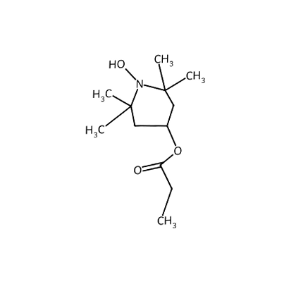 CCC(=O)OC1CC(C)(C)N(O)C(C)(C)C1